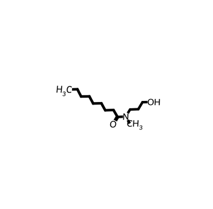 CCCCCCCCC(=O)N(C)CCCO